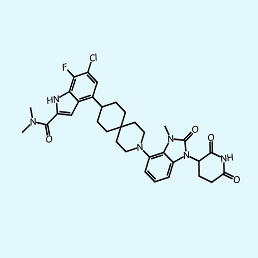 CN(C)C(=O)c1cc2c(C3CCC4(CC3)CCN(c3cccc5c3n(C)c(=O)n5C3CCC(=O)NC3=O)CC4)cc(Cl)c(F)c2[nH]1